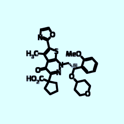 COc1ccccc1[C@@H](Cn1nc(C2(C(=O)O)CCCC2)c(=O)c2c(C)c(-c3ncco3)sc21)OC1CCOCC1